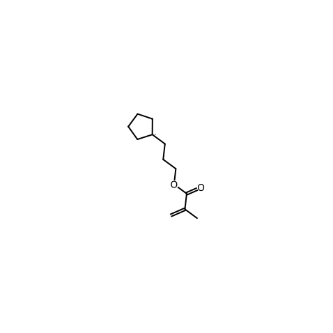 C=C(C)C(=O)OCCC[C]1CCCC1